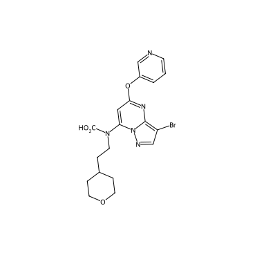 O=C(O)N(CCC1CCOCC1)c1cc(Oc2cccnc2)nc2c(Br)cnn12